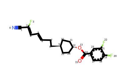 N#CC(F)=CC=CCC[C@H]1CC[C@H](OC(=O)c2ccc(F)c(F)c2)CC1